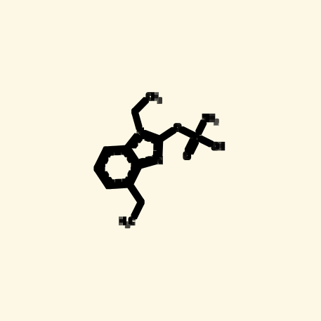 CCc1cccc2c1nc(OP(N)(=O)O)n2CC